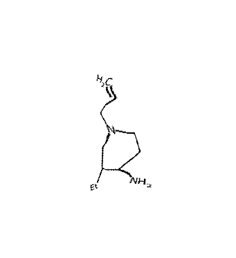 C=CCN1CCC(N)C(CC)C1